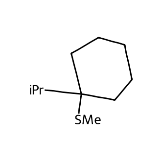 CSC1(C(C)C)CCCCC1